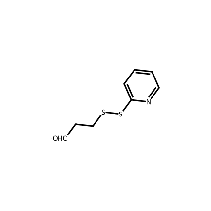 O=[C]CCSSc1ccccn1